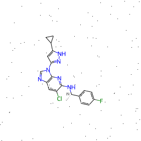 C[C@H](Nc1nc2c(cc1Cl)ncn2-c1cc(C2CC2)[nH]n1)c1ccc(F)cc1